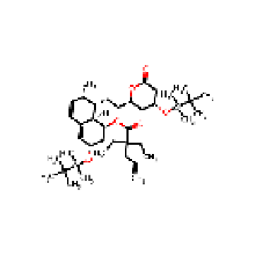 C=CCC(CC)(CC)C(=O)O[C@H]1C[C@H](O[Si](C)(C)C(C)(C)C)C=C2C=C[C@H](C)[C@H](CC[C@@H]3C[C@@H](O[Si](C)(C)C(C)(C)C)CC(=O)O3)[C@H]21